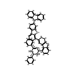 C1=C(c2cccc3c2sc2cc(-n4c5ccccc5c5ccccc54)ccc23)CCc2oc3cccc(C4N=C(c5ccccc5)NC(c5ccccc5)N4)c3c21